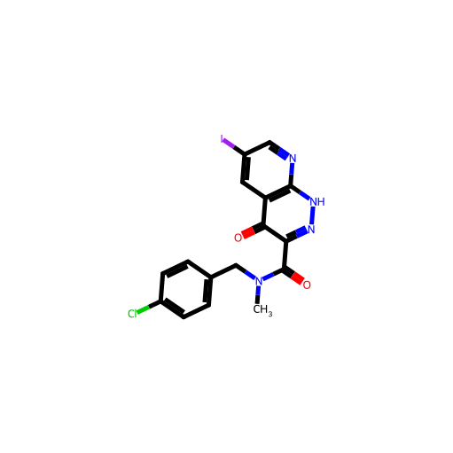 CN(Cc1ccc(Cl)cc1)C(=O)c1n[nH]c2ncc(I)cc2c1=O